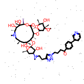 CO[C@]1(C)C[C@H](O[C@H]2[C@H](C)[C@@H](O[C@@H]3O[C@H](C)C[C@H](N(C)CCc4cn(CCCC(=O)c5ccc(-c6cccnc6)cc5)nn4)[C@H]3O)[C@](C)(O)C[C@@H](C)CN(C)[C@H](C)[C@@H](O)[C@](C)(O)[C@@H](I)OC(=O)[C@@H]2C)O[C@@H](C)[C@@H]1O